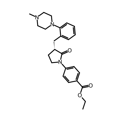 CCOC(=O)c1ccc(N2CC[C@H](Cc3ccccc3N3CCN(C)CC3)C2=O)cc1